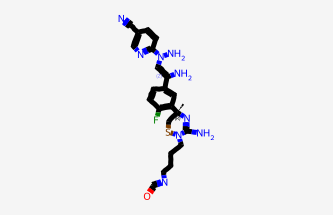 C[C@@]1(c2cc(/C(N)=C/N(N)c3ccc(C#N)cn3)ccc2F)CSN(CCCCN=C=O)C(N)=N1